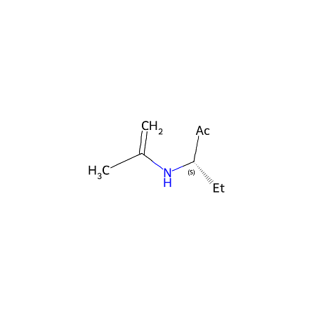 C=C(C)N[C@@H](CC)C(C)=O